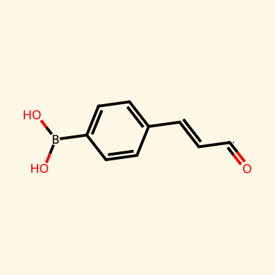 O=[C]C=Cc1ccc(B(O)O)cc1